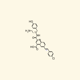 NCC[C@H](Cc1ccc(O)cc1)NC(=O)c1cc(C(=O)O)c2cc(/C=C/c3ccc(Cl)cc3)ccc2n1